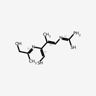 CC(=C\N=C(\P)S)/C(=C/S)/N=C(\C)CO